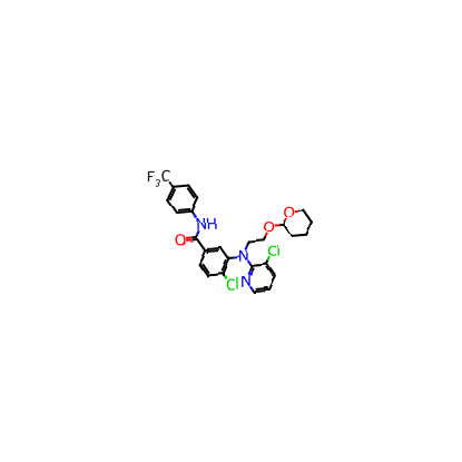 O=C(Nc1ccc(C(F)(F)F)cc1)c1ccc(Cl)c(N(CCOC2CCCCO2)c2ncccc2Cl)c1